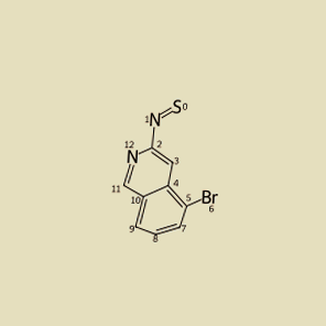 S=Nc1cc2c(Br)cccc2cn1